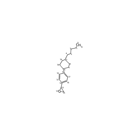 CCCCCC1CCC(c2ccc(C3CO3)cc2)CC1